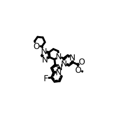 COC(=O)c1cnc(N2CCc3c(ncn3C3CCCCO3)C2c2cc3c(F)cccn3n2)cn1